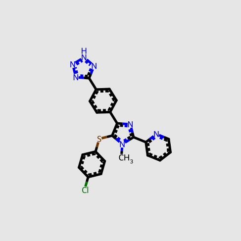 Cn1c(-c2ccccn2)nc(-c2ccc(-c3nn[nH]n3)cc2)c1Sc1ccc(Cl)cc1